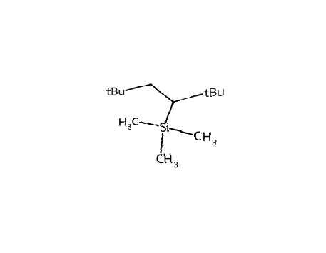 CC(C)(C)CC(C(C)(C)C)[Si](C)(C)C